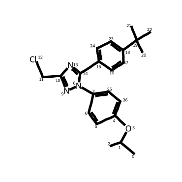 CC(C)Oc1ccc(-n2nc(CCl)nc2-c2ccc(C(C)(C)C)cc2)cc1